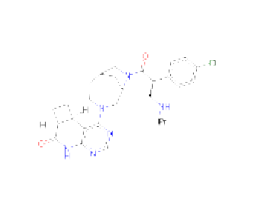 CC(C)NC[C@@H](C(=O)N1CC2CCN(c3ncnc4c3[C@@H]3CC[C@@H]3C(=O)N4)CC1C2)c1ccc(Cl)cc1